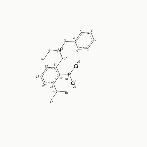 CCN(Cc1ccccc1)Cc1cccc(C(C)C)c1P(Cl)Cl